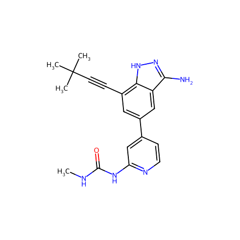 CNC(=O)Nc1cc(-c2cc(C#CC(C)(C)C)c3[nH]nc(N)c3c2)ccn1